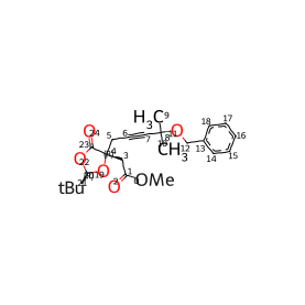 COC(=O)C[C@@]1(CC#CC(C)(C)OCc2ccccc2)O[C@@H](C(C)(C)C)OC1=O